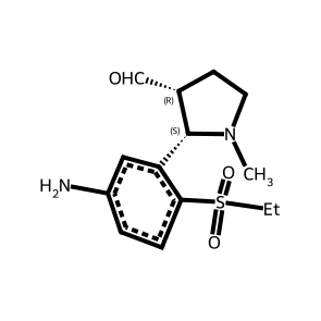 CCS(=O)(=O)c1ccc(N)cc1[C@@H]1[C@H](C=O)CCN1C